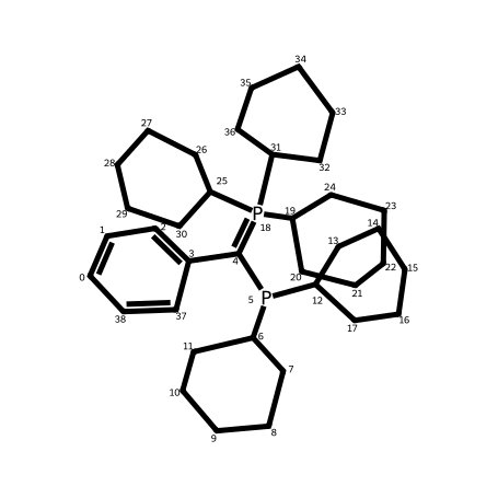 c1ccc(C(P(C2CCCCC2)C2CCCCC2)=P(C2CCCCC2)(C2CCCCC2)C2CCCCC2)cc1